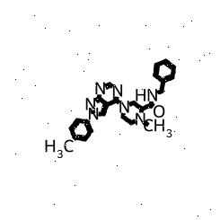 Cc1ccc(-n2cc3c(N4CCN(C)C(C(=O)NCc5ccccc5)C4)ncnc3n2)cc1